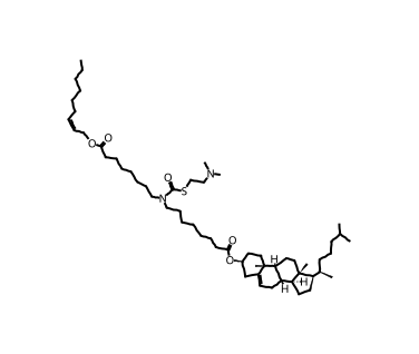 CCCCCC/C=C\COC(=O)CCCCCCCN(CCCCCCCC(=O)O[C@H]1CC[C@@]2(C)C(=CC[C@H]3[C@@H]4CC[C@H]([C@H](C)CCCC(C)C)[C@@]4(C)CC[C@@H]32)C1)C(=O)SCCN(C)C